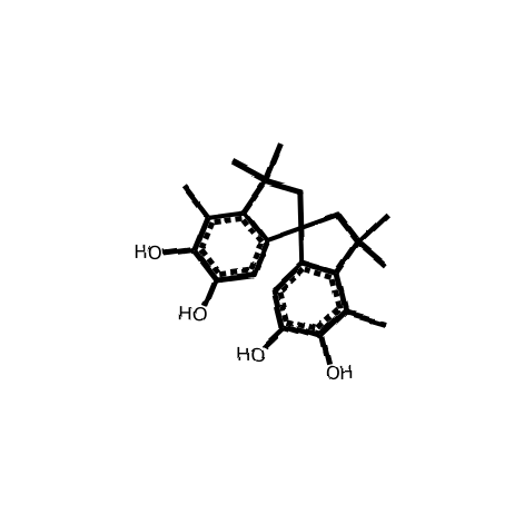 Cc1c(O)c(O)cc2c1C(C)(C)CC21CC(C)(C)c2c1cc(O)c(O)c2C